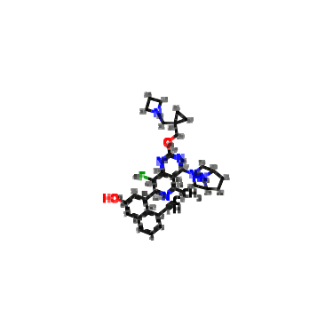 C#Cc1cccc2cc(O)cc(-c3nc(C)c4c(N5CC6CCC(C5)N6)nc(OCC5(CN6CCC6)CC5)nc4c3F)c12